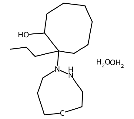 CCCC1(N2CCCCCCN2)CCCCCCC1O.O.O